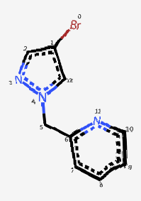 Brc1cnn(Cc2cc[c]cn2)c1